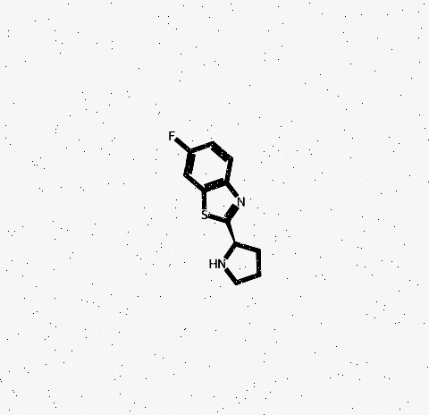 Fc1ccc2nc([C@H]3CCCN3)sc2c1